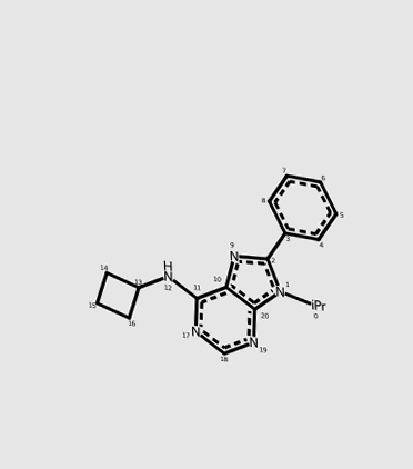 CC(C)n1c(-c2ccccc2)nc2c(NC3CCC3)ncnc21